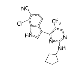 N#Cc1ccc2c(-c3nc(NC4CCCC4)ncc3C(F)(F)F)c[nH]c2c1Cl